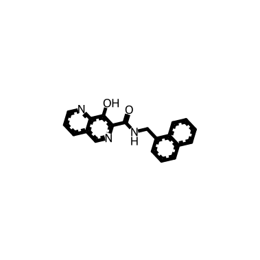 O=C(NCc1cccc2ccccc12)c1ncc2cccnc2c1O